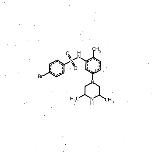 Cc1ccc(N2CC(C)NC(C)C2)cc1NS(=O)(=O)c1ccc(Br)cc1